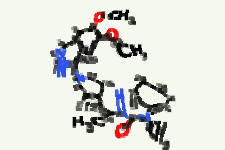 COc1cc2cnnc(N3CCC(C(C)NC(=O)N(C)C4CCCCC4)CC3)c2cc1OC